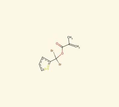 C=C(C)C(=O)OC(Br)(Br)c1cccs1